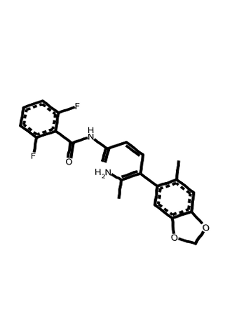 C=C(/C=C\C(=C(\C)N)c1cc2c(cc1C)OCO2)NC(=O)c1c(F)cccc1F